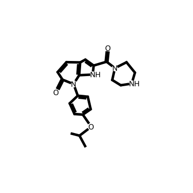 CC(C)Oc1ccc(-n2c(=O)ccc3cc(C(=O)N4CCNCC4)[nH]c32)cc1